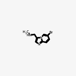 CNCc1cnc2ccc(Br)cn12